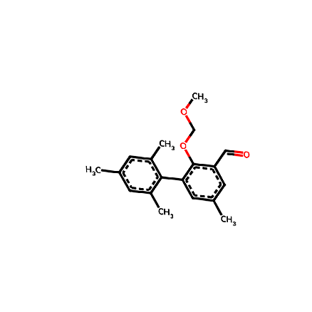 COCOc1c(C=O)cc(C)cc1-c1c(C)cc(C)cc1C